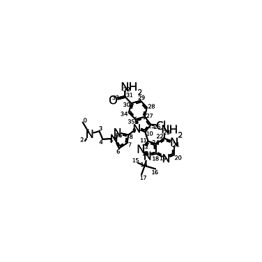 CN(C)CCn1ccc(-n2c(-c3nn(C(C)(C)C)c4ncnc(N)c34)c(Cl)c3ccc(C(N)=O)cc32)n1